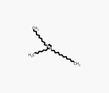 CCCCCCCCCCCCCN1C=CN(CCCCCCCCCC)C1CCCCCCC